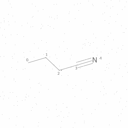 CC[CH]C#N